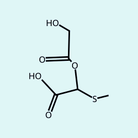 CSC(OC(=O)CO)C(=O)O